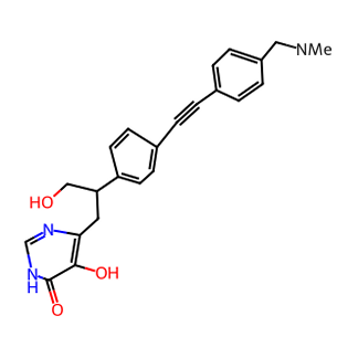 CNCc1ccc(C#Cc2ccc(C(CO)Cc3nc[nH]c(=O)c3O)cc2)cc1